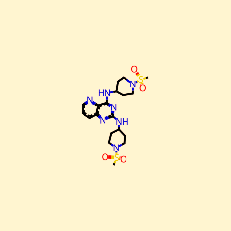 CS(=O)(=O)N1CCC(Nc2nc(NC3CCN(S(C)(=O)=O)CC3)c3ncccc3n2)CC1